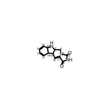 O=C1NC(=O)N2CC3NC4C=CC=CC4C3C=C12